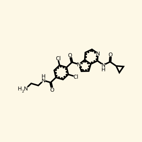 NCCNC(=O)c1cc(Cl)c(C(=O)n2ccc3c(NC(=O)C4CC4)nccc32)c(Cl)c1